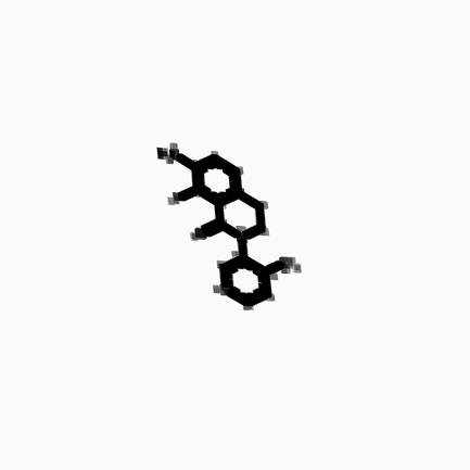 Cc1ccc2c(c1F)C(=O)N(c1cnccc1C(F)(F)F)CC2